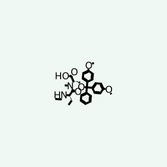 CCN[C@@H](CC)C(=O)N(C)[C@@H](COC(c1ccccc1)(c1ccc(OC)cc1)c1ccc(OC)cc1)C(=O)O